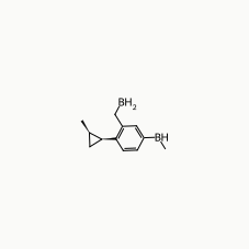 BCc1cc(BC)ccc1[C@H]1C[C@H]1C